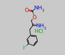 Cl.NC(=O)OC[C@@H](N)Cc1cccc(F)c1